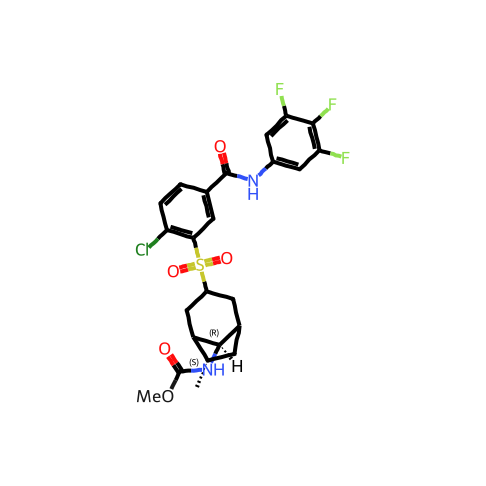 COC(=O)N[C@@H]1C2CC(S(=O)(=O)c3cc(C(=O)Nc4cc(F)c(F)c(F)c4)ccc3Cl)CC1[C@@H](C)C2